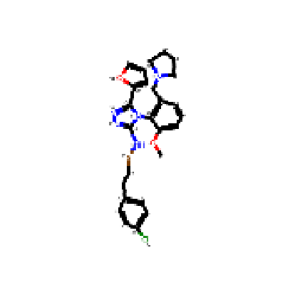 COc1cccc(CN2CCCC2)c1-n1c(NSCCc2ccc(Cl)cc2)nnc1-c1ccco1